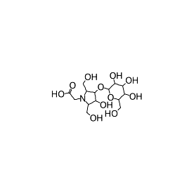 O=C(O)CN1C(CO)C(O)C(OC2OC(CO)C(O)C(O)C2O)C1CO